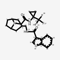 O=C(CN1C2CCC1CC(CNC(=O)c1coc3ccccc13)C2)NC1(C(F)(F)F)CC1